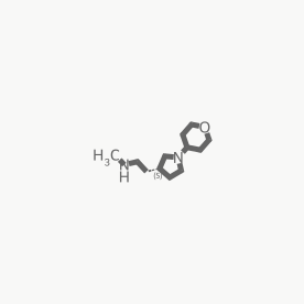 CNCC[C@H]1CCN(C2CCOCC2)C1